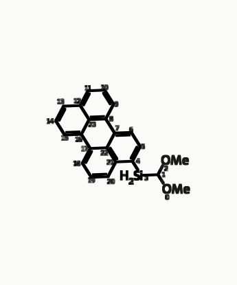 COC(OC)[SiH2]c1ccc2c3cccc4cccc(c5cccc1c52)c43